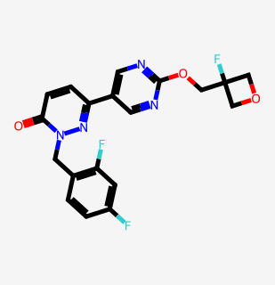 O=c1ccc(-c2cnc(OCC3(F)COC3)nc2)nn1Cc1ccc(F)cc1F